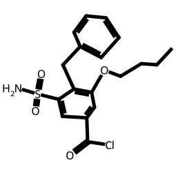 CCCCOc1cc(C(=O)Cl)cc(S(N)(=O)=O)c1Cc1ccccc1